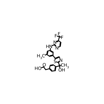 Cc1cc(Nc2nccc(C(F)(F)F)n2)cc(-c2cnc([C@](C)(O)c3ccc(CC(=O)O)cc3)s2)c1